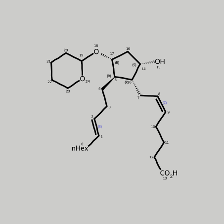 CCCCCC/C=C/CC[C@@H]1[C@@H](C/C=C\CCCC(=O)O)[C@@H](O)C[C@H]1OC1CCCCO1